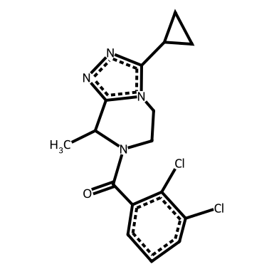 CC1c2nnc(C3CC3)n2CCN1C(=O)c1cccc(Cl)c1Cl